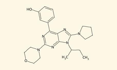 CCC(C)n1c(N2CCCC2)nc2c(-c3cccc(O)c3)nc(N3CCOCC3)nc21